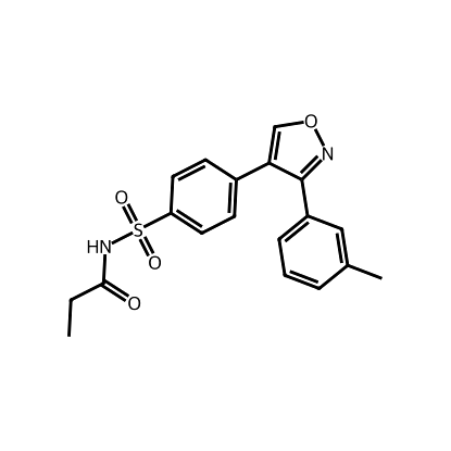 CCC(=O)NS(=O)(=O)c1ccc(-c2conc2-c2cccc(C)c2)cc1